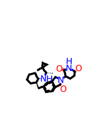 C[C@H](N[C@H]1CCCC[C@@H]1Cc1ccc2c(c1)CN(C1CCC(=O)NC1=O)C2=O)C1(C)CC1